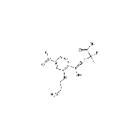 NCCNc1cc([N+](=O)[O-])ccc1C(=O)O.O=C(O)C(F)(F)F